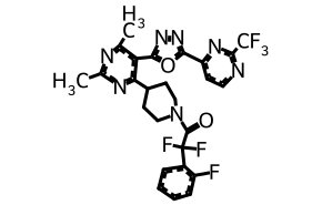 Cc1nc(C)c(-c2nnc(-c3ccnc(C(F)(F)F)n3)o2)c(C2CCN(C(=O)C(F)(F)c3ccccc3F)CC2)n1